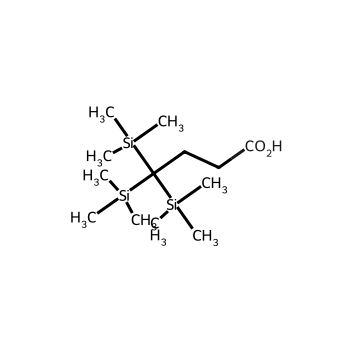 C[Si](C)(C)C(CCC(=O)O)([Si](C)(C)C)[Si](C)(C)C